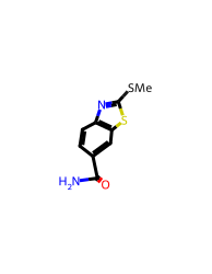 CSc1nc2ccc(C(N)=O)cc2s1